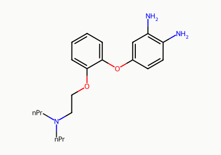 CCCN(CCC)CCOc1ccccc1Oc1ccc(N)c(N)c1